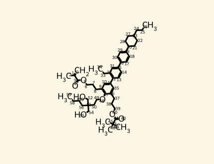 C=C(C)C(=O)OCCCc1cc(-c2ccc(-c3ccc(C4CCC(CCC)CC4)cc3)cc2CC)cc(CCCOC(=O)C(C)(C)C)c1OCCC(CO)(CO)CCCC